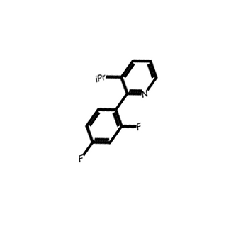 CC(C)c1cccnc1-c1ccc(F)cc1F